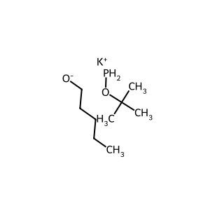 CC(C)(C)OP.CCCCC[O-].[K+]